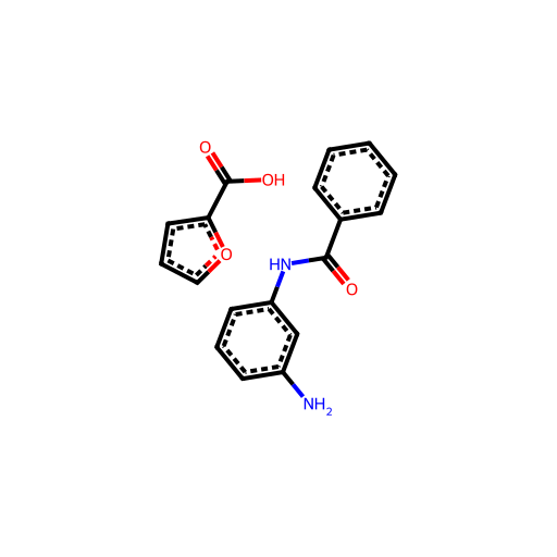 Nc1cccc(NC(=O)c2ccccc2)c1.O=C(O)c1ccco1